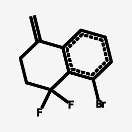 C=C1CCC(F)(F)c2c(Br)cccc21